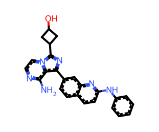 Nc1nccn2c(C3CC(O)C3)nc(-c3ccc4ccc(Nc5ccccc5)nc4c3)c12